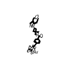 CC(C)(C)c1nc(-c2ccc(C(=O)N3CC4(CC(n5ncc6c5CCOC6)C4)C3)cc2)no1